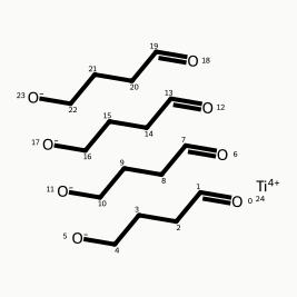 O=CCCC[O-].O=CCCC[O-].O=CCCC[O-].O=CCCC[O-].[Ti+4]